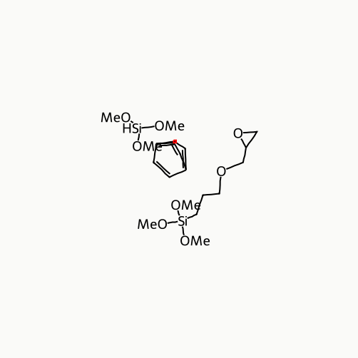 CO[SiH](OC)OC.CO[Si](CCCOCC1CO1)(OC)OC.c1cc2ccc1cc2